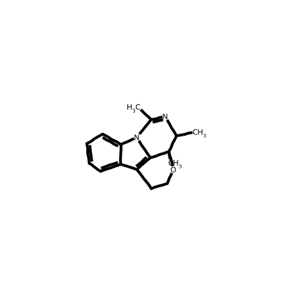 CC1=NC(C)C2(C)OCCc3c2n1c1ccccc31